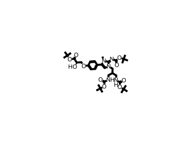 Cn1c(-c2ccc(OC[C@@H](O)C(=O)OC(C)(C)C)cc2)cn(CC(CNC(=O)OC(C)(C)C)CNC(=O)OC(C)(C)C)c1=NC(=O)OC(C)(C)C